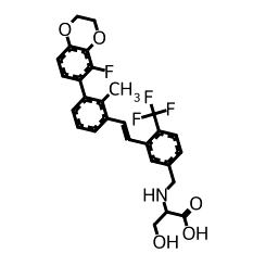 Cc1c(/C=C/c2cc(CNC(CO)C(=O)O)ccc2C(F)(F)F)cccc1-c1ccc2c(c1F)OCCO2